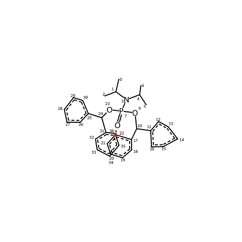 CC(C)N(C(C)C)P(=O)(OC(c1ccccc1)c1ccccc1)OC(c1ccccc1)c1ccccc1